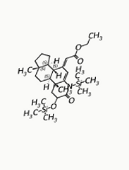 CCOC(=O)C=C1C=C2N([Si](C)(C)C)C(=O)C(O[Si](C)(C)C)C[C@]2(C)[C@H]2CC[C@]3(C)CCC[C@H]3[C@H]12